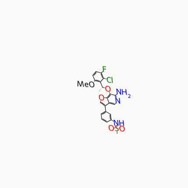 COc1ccc(F)c(Cl)c1[C@@H](C)Oc1c(N)ncc2c(-c3cccc(NS(C)(=O)=O)c3)coc12